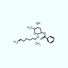 C=CCCCC[C@@H](C)O[C@@H]1OC(C)[C@H](O)CC1OC(=O)c1ccccc1